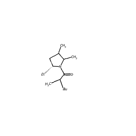 CCC(C)C(C)C(=O)N1C(C)C(C)C[C@H]1CC